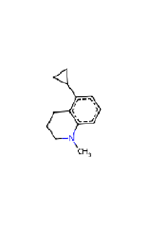 CN1CCCc2c(C3CC3)cccc21